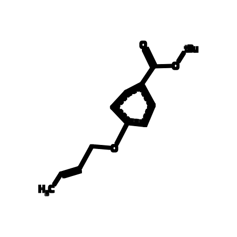 C/C=C/COc1ccc(C(=O)OC(C)(C)C)cc1